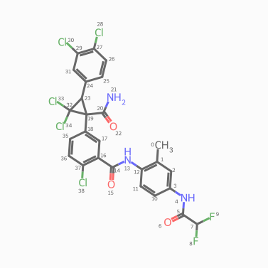 Cc1cc(NC(=O)C(F)F)ccc1NC(=O)c1cc(C2(C(N)=O)C(c3ccc(Cl)c(Cl)c3)C2(Cl)Cl)ccc1Cl